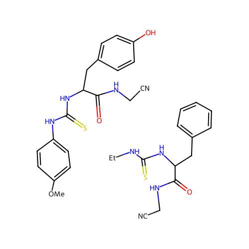 CCNC(=S)NC(Cc1ccccc1)C(=O)NCC#N.COc1ccc(NC(=S)NC(Cc2ccc(O)cc2)C(=O)NCC#N)cc1